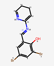 Oc1c(Br)cc(Br)cc1/C=N/C1=CCCC=N1